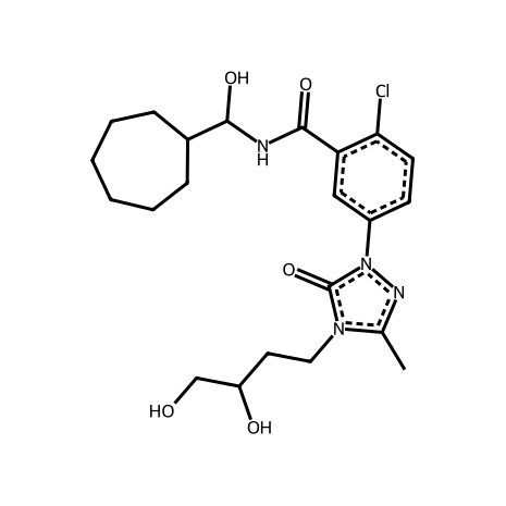 Cc1nn(-c2ccc(Cl)c(C(=O)NC(O)C3CCCCCC3)c2)c(=O)n1CCC(O)CO